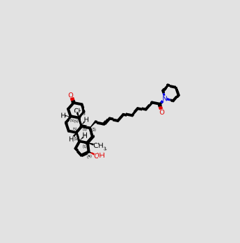 C[C@]12CCC(=O)C[C@@H]1CC[C@@H]1[C@@H]2[C@@H](CCCCCCCCCC(=O)N2CCCCC2)C[C@]2(C)[C@@H](O)CC[C@@H]12